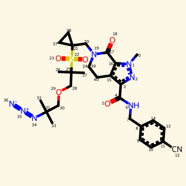 Cn1nc(C(=O)NCc2ccc(C#N)cc2)c2c1C(=O)N(CC1(S(=O)(=O)C(C)(C)COCC(C)(C)N=[N+]=[N-])CC1)CC2